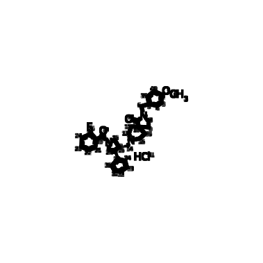 COc1ccc(CN2CCC3(CCN(C[C@H]4CN(C(=O)c5ccccc5F)C[C@@H]4c4ccccc4)CC3)C2=O)cc1.Cl